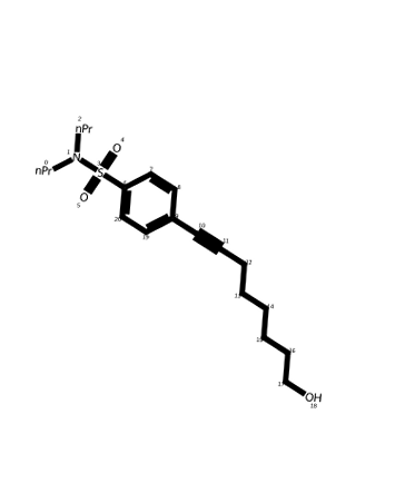 CCCN(CCC)S(=O)(=O)c1ccc(C#CCCCCCCO)cc1